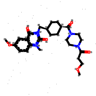 COCCC(=O)N1CCN(C(=O)[C@H]2CC[C@H](Cn3c(=O)c4cc(OC)ccc4n(C)c3=O)CC2)CC1